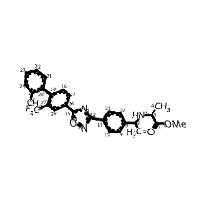 COC(=O)[C@H](C)NC(C)c1ccc(-c2noc(-c3ccc(-c4ccccc4C)c(C(F)(F)F)c3)n2)cc1